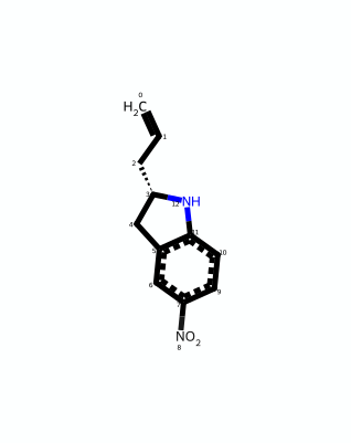 C=CC[C@H]1Cc2cc([N+](=O)[O-])ccc2N1